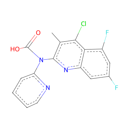 Cc1c(N(C(=O)O)c2ccccn2)nc2cc(F)cc(F)c2c1Cl